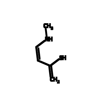 C=C(S)/C=C\NC